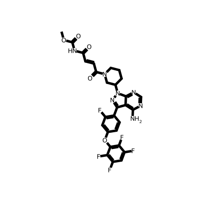 COC(=O)NC(=O)C=CC(=O)N1CCCC(n2nc(-c3ccc(Oc4c(F)c(F)cc(F)c4F)cc3F)c3c(N)ncnc32)C1